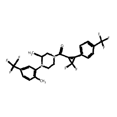 Cc1ccc(C(F)(F)F)cc1N1CCN(C(=O)C2=C(c3ccc(C(F)(F)F)cc3)C2(F)F)CC1C